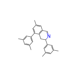 Cc1cc(C)cc(-c2cc(C)cc3c2CC(c2cc(C)cc(C)c2)N=C3)c1